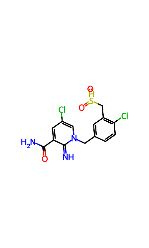 N=c1c(C(N)=O)cc(Cl)cn1Cc1ccc(Cl)c(C[SH](=O)=O)c1